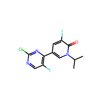 CC(C)n1cc(-c2nc(Cl)ncc2F)cc(F)c1=O